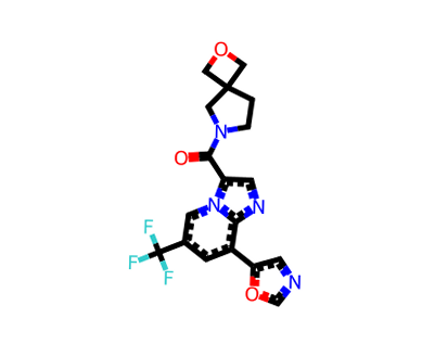 O=C(c1cnc2c(-c3cnco3)cc(C(F)(F)F)cn12)N1CCC2(COC2)C1